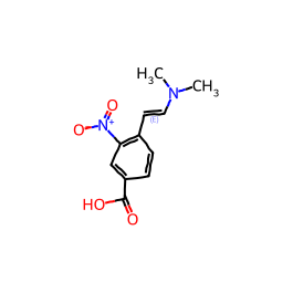 CN(C)/C=C/c1ccc(C(=O)O)cc1[N+](=O)[O-]